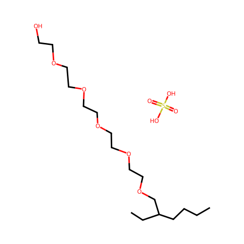 CCCCC(CC)COCCOCCOCCOCCOCCO.O=S(=O)(O)O